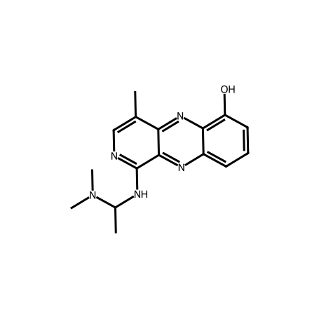 Cc1cnc(NC(C)N(C)C)c2nc3cccc(O)c3nc12